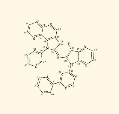 c1ccc(-c2cccc(-n3c4ccccc4c4cc5c6ccc7ccccc7c6n(-c6ccccc6)c5cc43)c2)cc1